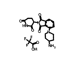 NC1CCN(c2cccc3c2C(=O)N(C2CCC(=O)NC2=O)C3=O)CC1.O=C(O)C(F)(F)F